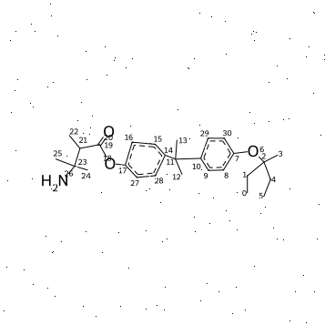 CCC(C)(CC)Oc1ccc(C(C)(C)c2ccc(OC(=O)C(C)C(C)(C)N)cc2)cc1